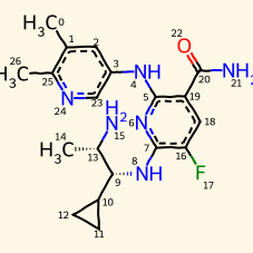 Cc1cc(Nc2nc(N[C@H](C3CC3)[C@H](C)N)c(F)cc2C(N)=O)cnc1C